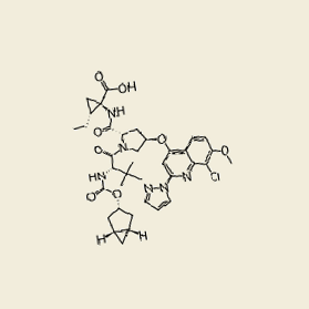 CC[C@@H]1C[C@]1(NC(=O)[C@@H]1C[C@@H](Oc2cc(-n3cccn3)nc3c(Cl)c(OC)ccc23)CN1C(=O)[C@@H](NC(=O)O[C@@H]1C[C@@H]2C[C@@H]2C1)C(C)(C)C)C(=O)O